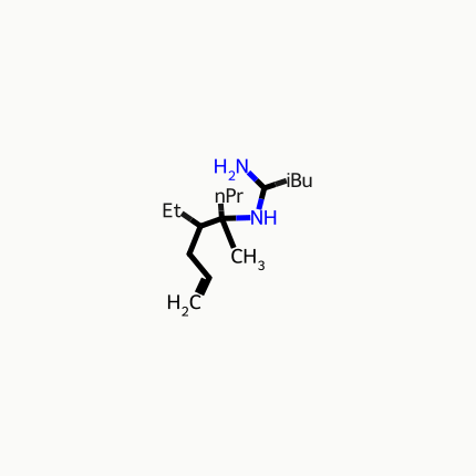 C=CCC(CC)C(C)(CCC)NC(N)C(C)CC